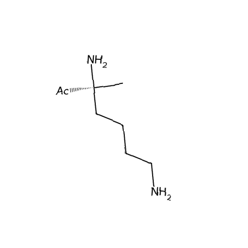 CC(=O)[C@@](C)(N)CCCCN